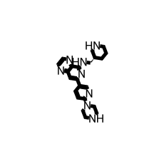 c1cnc2c(NC[C@H]3CCCNC3)nc(-c3ccc(N4CCNCC4)nc3)cc2n1